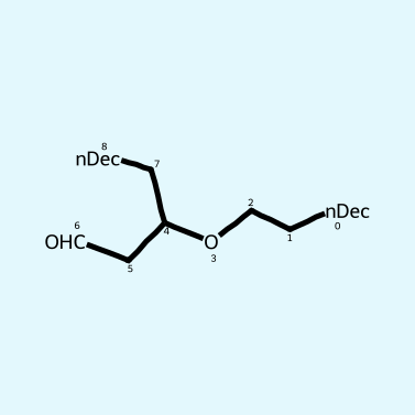 CCCCCCCCCCCCOC(CC=O)CCCCCCCCCCC